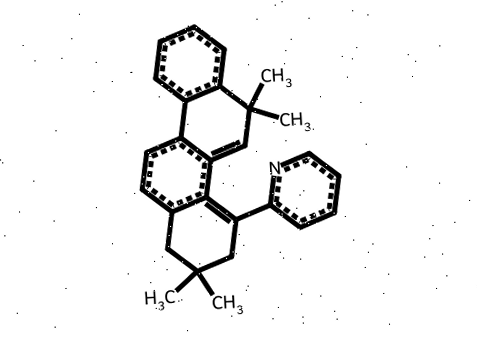 CC1(C)CC(c2ccccn2)=c2c(ccc3c2=CC(C)(C)c2ccccc2-3)C1